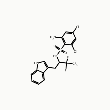 Nc1cc(Cl)cc(Cl)c1S(=O)(=O)NC(Cc1c[nH]c2ccccc12)C(F)(F)C(F)(F)F